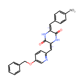 O=c1[nH]/c(=C/c2ccc(OCc3ccccc3)cn2)c(=O)[nH]/c1=C/c1ccc([N+](=O)[O-])cc1